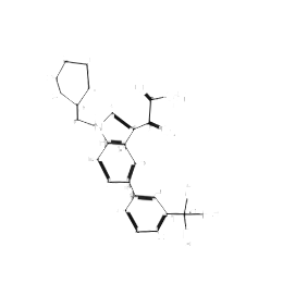 O=C(O)C(=O)c1cn(CC2CCCCC2)c2ccc(-c3cccc(C(F)(F)F)c3)cc12